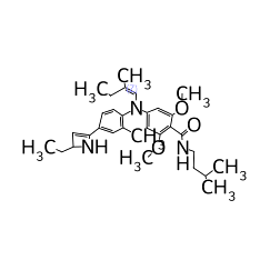 CC/C(C)=C\N(c1cc(OC)c(C(=O)NCCC(C)C)c(OC)c1)c1ccc(C2=CC(CC)N2)cc1C